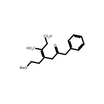 COCCC(CC(=O)Cc1ccccc1)=C(CC(=O)O)C(=O)O